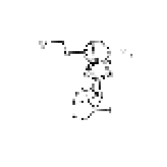 Cc1cc(N2CC3CC[C@@H](C2)[C@@H]3Nc2nc3c(OCC(F)(F)F)ccc(C(F)(F)F)n3n2)sn1